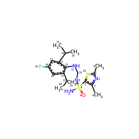 Cc1nc(C)c(S(N)(=O)=NCNc2c(C(C)C)cc(F)cc2C(C)C)s1